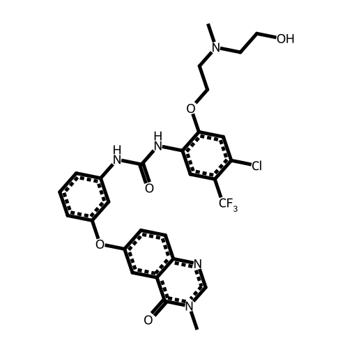 CN(CCO)CCOc1cc(Cl)c(C(F)(F)F)cc1NC(=O)Nc1cccc(Oc2ccc3ncn(C)c(=O)c3c2)c1